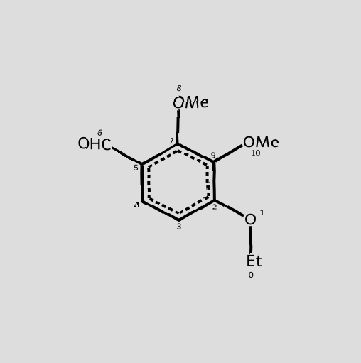 CCOc1ccc(C=O)c(OC)c1OC